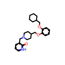 O=c1[nH]cccc1CN1CCC(COc2ccccc2OCC2CCCCC2)CC1